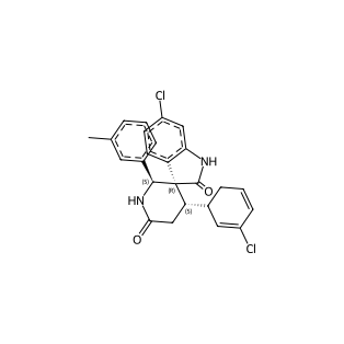 Cc1cccc([C@@H]2NC(=O)C[C@@H](C3C=C(Cl)C=CC3)[C@]23C(=O)Nc2cc(Cl)ccc23)c1